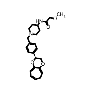 COCC(=O)NC1CCN(Cc2ccc([C@H]3COC4=CCC=CC=C4O3)cc2)CC1